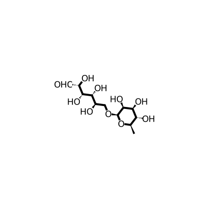 C[C@H]1O[C@@H](OC[C@@H](O)[C@@H](O)[C@H](O)[C@@H](O)C=O)[C@@H](O)[C@@H](O)[C@@H]1O